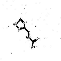 O=C(O)NCc1nc[nH]n1